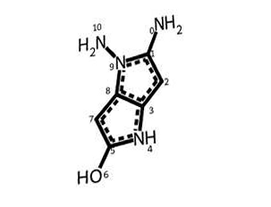 Nc1cc2[nH]c(O)cc2n1N